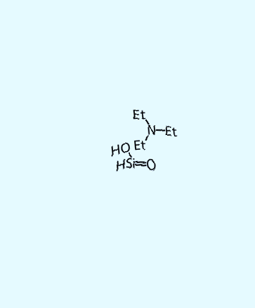 CCN(CC)CC.O=[SiH]O